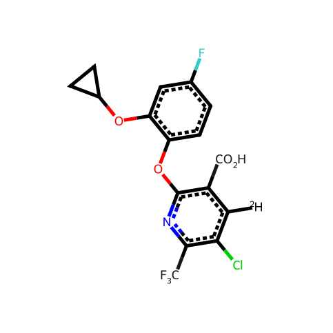 [2H]c1c(Cl)c(C(F)(F)F)nc(Oc2ccc(F)cc2OC2CC2)c1C(=O)O